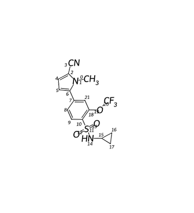 Cn1c(C#N)ccc1-c1ccc(S(=O)(=O)NC2CC2)c(OC(F)(F)F)c1